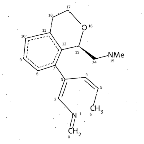 C=N/C=C(\C=C/C)c1cccc2c1[C@H](CNC)OCC2